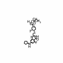 CC(C)(C)OC(=O)N1CC[C@H](SCc2nc3cc(NC4CCCC4)cc(F)c3c(=O)[nH]2)[C@@H](F)C1